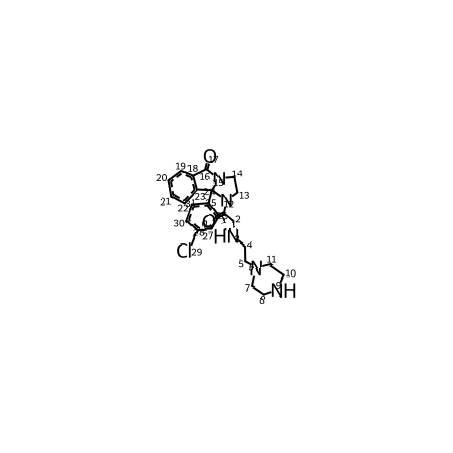 O=C(CNCCN1CCNCC1)N1CCN2C(=O)c3ccccc3C12c1ccc(Cl)cc1